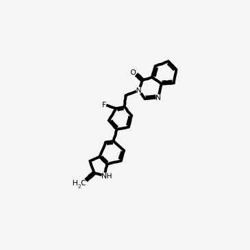 C=C1Cc2cc(-c3ccc(Cn4cnc5ccccc5c4=O)c(F)c3)ccc2N1